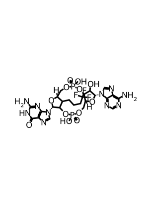 Nc1nc2c(ncn2[C@@H]2O[C@@H]3COP(=O)(O)OC4C(O)[C@H](n5cnc6c(N)ncnc65)O[C@@H]4COP(=O)(O)OC2C3CCCC(F)(F)F)c(=O)[nH]1